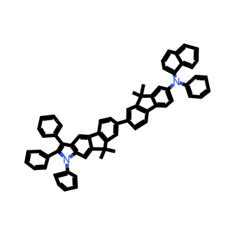 CC1(C)c2cc(-c3ccc4c(c3)C(C)(C)c3cc5c(cc3-4)c(-c3ccccc3)c(-c3ccccc3)n5-c3ccccc3)ccc2-c2ccc(N(c3ccccc3)c3cccc4ccccc34)cc21